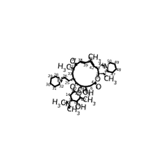 CC[C@H]1OC(=O)C[C@@H](O)[C@H](C)[C@@H](OC2CC(N(C)C)C(O)C(C)O2)[C@@H](CCN2CCCCC2)C[C@@H](C)C(=O)/C=C/C(C)=C/[C@@H]1CN1CCCCC1